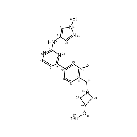 CCn1cc(Nc2nccc(-c3ccc(CN4CC(OC(C)(C)C)C4)c(C)c3)n2)cn1